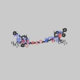 CC[C@H](NC)C(=O)N[C@@H]1C(=O)N2[C@@H](CC[C@@H]1CNC(=O)CCc1cn(CCCOCCOCCOCCCNC(=O)[C@@H](NC(=O)[C@@H]3CC[C@@H]4CC[C@H](CCNCc5ccccc5)[C@H](NC(=O)[C@H](CC)NC)C(=O)N43)c3ccccc3)nn1)CC[C@H]2C(=O)NC(c1ccccc1)c1ccccc1